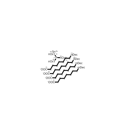 CCCCCCCCCCCCCCCCCC(=O)[O-].CCCCCCCCCCCCCCCCCC(=O)[O-].CCCCCCCCCCCCCCCCCC(=O)[O-].CCCCCCCCCCCCCCCCCC(=O)[O-].CCCCCCCCP(CCCCCCCC)CCCCCCCC.[Sn+4]